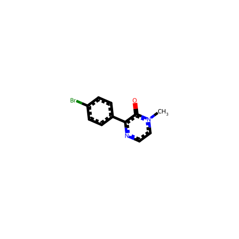 Cn1ccnc(-c2ccc(Br)cc2)c1=O